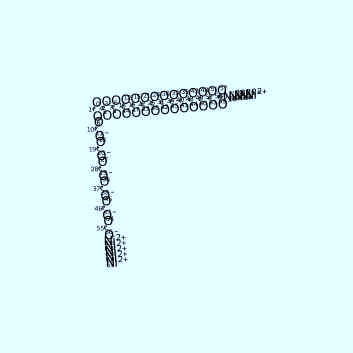 O=C[O-].O=C[O-].O=C[O-].O=C[O-].O=C[O-].O=C[O-].O=C[O-].O=C[O-].O=C[O-].O=C[O-].O=C[O-].O=C[O-].O=C[O-].O=C[O-].O=C[O-].O=C[O-].O=C[O-].O=C[O-].O=C[O-].O=C[O-].[Ni+2].[Ni+2].[Ni+2].[Ni+2].[Ni+2].[Ni+2].[Ni+2].[Ni+2].[Ni+2].[Ni+2]